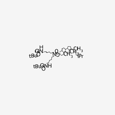 CC(C)CCCC(C)C1CCC2C3CC=C4CC(OC(=O)N(CCCCCCNC(=O)OC(C)(C)C)CCCCCCNC(=O)OC(C)(C)C)CCC4(C)C3CCC12C